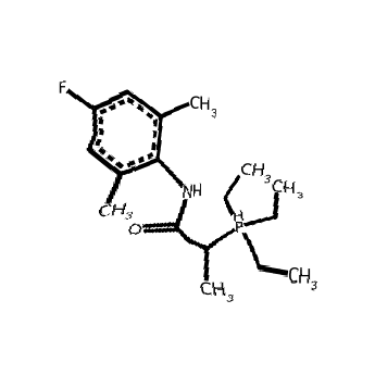 CC[PH](CC)(CC)C(C)C(=O)Nc1c(C)cc(F)cc1C